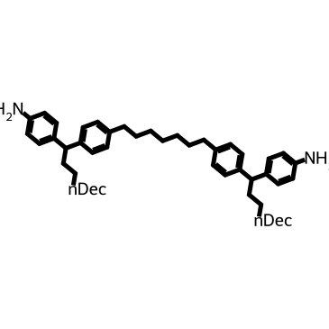 CCCCCCCCCCCCC(c1ccc(N)cc1)c1ccc(CCCCCCCc2ccc(C(CCCCCCCCCCCC)c3ccc(N)cc3)cc2)cc1